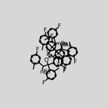 CCCCC(c1cc(F)ccc1C)C(OB(OC(c1cc(F)ccc1C)(c1cc(F)ccc1C)C(CCCC)c1cc(F)ccc1C)OC(c1cc(F)ccc1C)(c1cc(F)ccc1C)C(CCCC)c1cc(F)ccc1C)(c1cc(F)ccc1C)c1cc(F)ccc1C